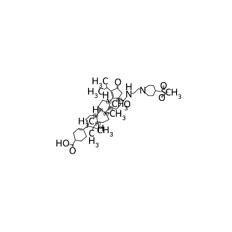 CC(C)C1=C2[C@H]3CC[C@@H]4[C@@]5(C)CC=C(C6=CCC(C(=O)O)CC6)C(C)(C)[C@@H]5CC[C@@]4(C)[C@]3(C)CC[C@@]2(C(=O)NCCN2CCC(S(C)(=O)=O)CC2)CC1=O